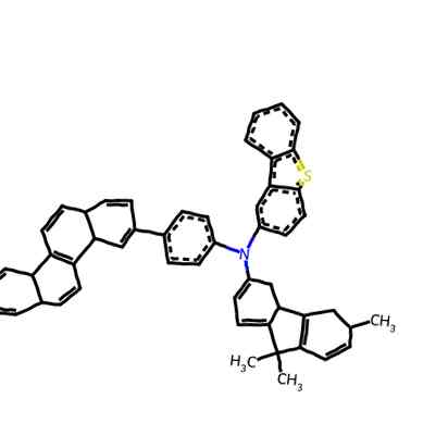 CC1C=CC2=C(C1)C1CC(N(c3ccc(C4=CC5C6=C(C=CC5C=C4)C4C=CC=CC4C=C6)cc3)c3ccc4sc5ccccc5c4c3)=CC=C1C2(C)C